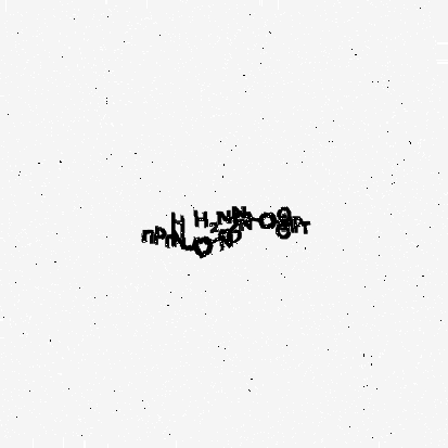 CCCNCc1ccc(-c2cc(-c3nc(-c4ccc(S(=O)(=O)C(C)C)cc4)cnc3N)on2)cc1